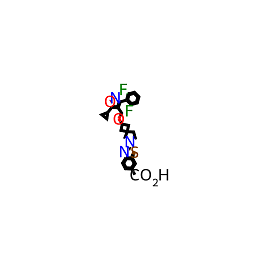 O=C(O)c1ccc2nc(N3CCC4(CC(OCc5c(-c6c(F)cccc6F)noc5C5CC5)C4)C3)sc2c1